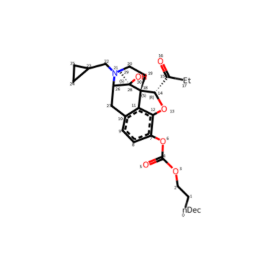 CCCCCCCCCCCCOC(=O)Oc1ccc2c3c1O[C@@H](C(=O)CC)[C@]31CCN(CC3CC3)C(C2)[C@@]1(C)O